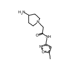 Cc1cc(NC(=O)CN2CCC(N)CC2)no1